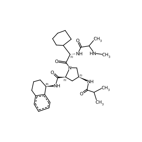 CNC(C)C(=O)N[C@H](C(=O)N1C[C@@H](NC(=O)C(C)C)C[C@H]1C(=O)N[C@@H]1CCCc2ccccc21)C1CCCCC1